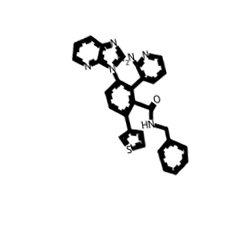 Nc1ncccc1-c1c(-n2cnc3cccnc32)ccc(-c2ccsc2)c1C(=O)NCc1ccccc1